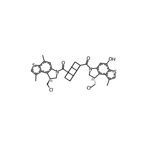 Cc1cc2c(c3c(C)csc13)[C@H](CCl)CN2C(=O)C12C3C4C1C1C2C3C41C(=O)N1C[C@@H](CCl)c2c1cc(O)c1scc(C)c21